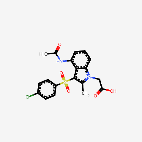 CC(=O)Nc1cccc2c1c(S(=O)(=O)c1ccc(Cl)cc1)c(C)n2CC(=O)O